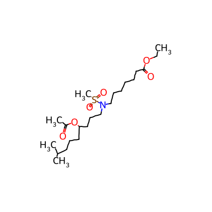 CCOC(=O)CCCCCCN(CCCC(CCCC(C)C)OC(C)=O)S(C)(=O)=O